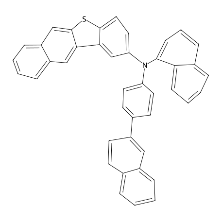 c1ccc2cc(-c3ccc(N(c4ccc5sc6cc7ccccc7cc6c5c4)c4cccc5ccccc45)cc3)ccc2c1